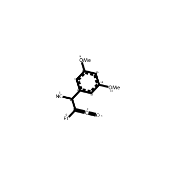 CCC(=C=O)C(C#N)c1cc(OC)cc(OC)c1